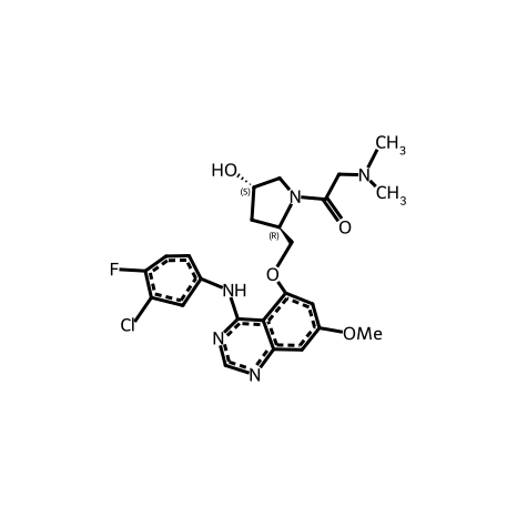 COc1cc(OC[C@H]2C[C@H](O)CN2C(=O)CN(C)C)c2c(Nc3ccc(F)c(Cl)c3)ncnc2c1